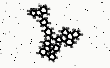 c1ccc2c(c1)-c1ccccc1C21c2ccccc2-c2ccc(N(c3ccc(-c4ccc(-n5c6ccccc6c6ccccc65)cc4)cc3)c3ccc(-c4cccc5c6ccccc6c6ccccc6c45)cc3)cc21